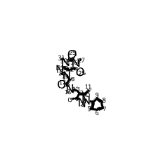 Cc1nn(-c2ccccc2)c(C)c1CN(C)C(=O)Cn1cnc2c1c(=O)n(C)c(=O)n2C